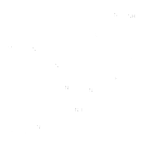 C=CC(=O)N1CCN(c2nc(NC3CCN(C4CC4)CC3)nc3c(F)c(/C(C(=C)C)=c4\cn[nH]\c4=C\C)c(Cl)cc23)CC1